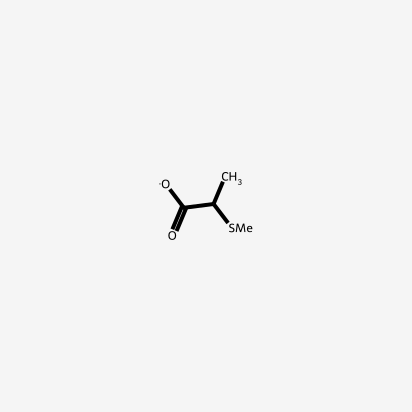 CSC(C)C([O])=O